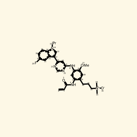 C=CC(=O)Nc1cc(Nc2cc(-c3cn(C(C)C)c4ccc(F)cc34)ncn2)c(OC)cc1CCC[N+](C)(C)[O-]